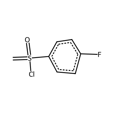 C=S(=O)(Cl)c1ccc(F)cc1